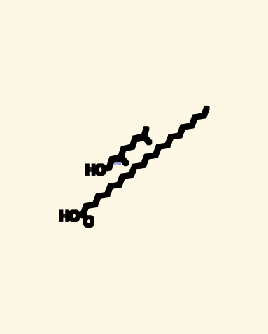 CC(C)=CCC/C(C)=C/CO.CCCCCCCCCCCCCCCCCCCCCC(=O)O